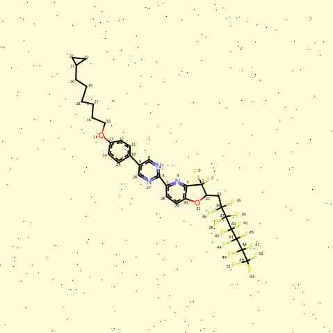 FC1(F)c2nc(-c3ncc(-c4ccc(OCCCCCCC5CC5)cc4)cn3)ccc2OC1CC(F)(F)C(F)(F)C(F)(F)C(F)(F)C(F)(F)C(F)(F)F